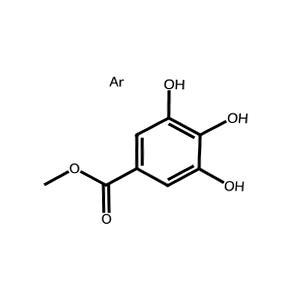 COC(=O)c1cc(O)c(O)c(O)c1.[Ar]